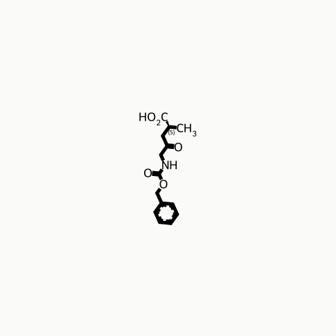 C[C@@H](CC(=O)CNC(=O)OCc1ccccc1)C(=O)O